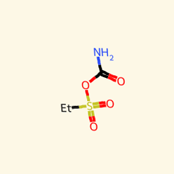 CCS(=O)(=O)OC(N)=O